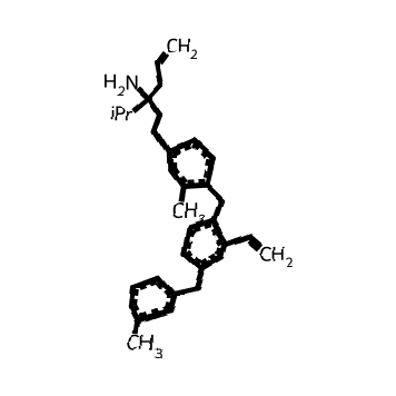 C=CCC(N)(CCc1ccc(Cc2ccc(Cc3cccc(C)c3)cc2C=C)c(C)c1)C(C)C